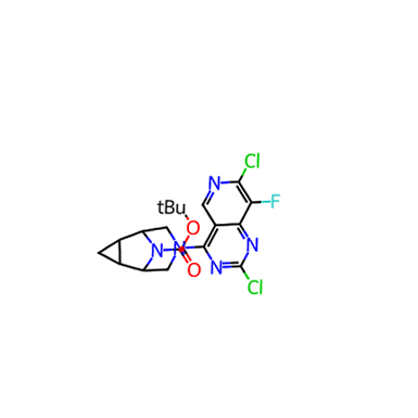 CC(C)(C)OC(=O)N1C2CN(c3nc(Cl)nc4c(F)c(Cl)ncc34)CC1C1CC12